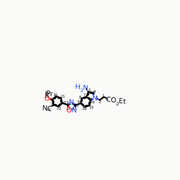 CCOC(=O)CCn1cc(N)c2cc(-c3noc(-c4ccc(OC(C)C)c(C#N)c4)n3)ccc21